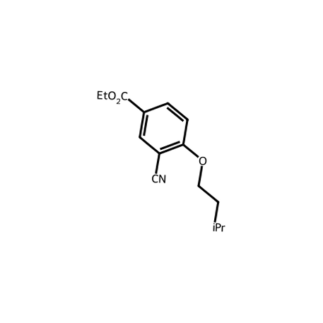 CCOC(=O)c1ccc(OCCC(C)C)c(C#N)c1